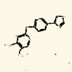 Cc1cc(Oc2ccc(-c3c[nH]cn3)cc2)ncc1N